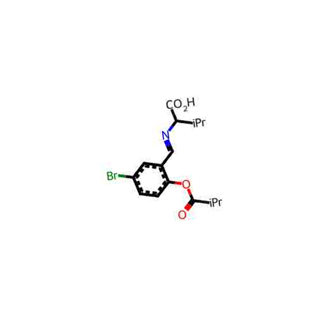 CC(C)C(=O)Oc1ccc(Br)cc1C=NC(C(=O)O)C(C)C